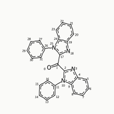 O=C(c1nc2ccccc2n1-c1ccccc1)c1nc2ccccc2n1-c1ccccc1